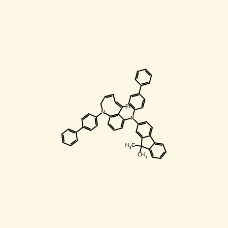 CC/C1=C\C=C/CN(c2ccc(-c3ccccc3)cc2)c2cccc(N(c3ccc(-c4ccccc4)cc3)c3ccc4c(c3)C(C)(C)c3ccccc3-4)c21